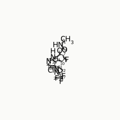 CCNC(=O)Oc1cc(F)cc2c1[nH]c1ncc(Cl)c(-n3ccc(C(F)(F)F)n3)c12